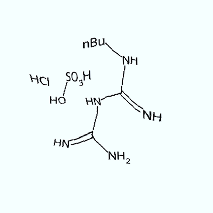 CCCCNC(=N)NC(=N)N.Cl.O=S(=O)(O)O